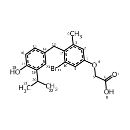 Cc1cc(OCC(=O)O)cc(Br)c1Cc1ccc(O)c(C(C)C)c1